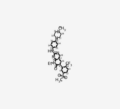 CCn1c(=O)c(-c2cc(S(C)(=O)=O)ccc2C(F)(F)F)cc2cnc(Nc3ccc(N4CCN(C)CC4)cc3)nc21